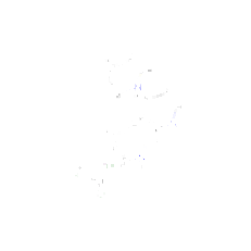 [Br][Cr]([Br])[Br].c1ccncc1.c1ccncc1.c1ccncc1